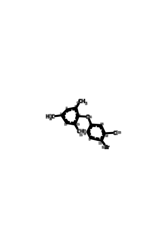 Cc1cc(C)c(Oc2ccc(Br)c(Cl)c2)c(C)c1